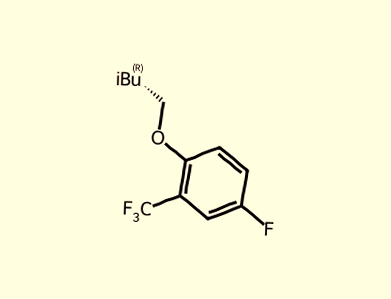 CC[C@@H](C)COc1ccc(F)cc1C(F)(F)F